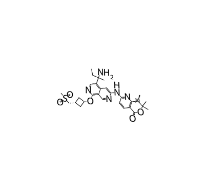 CCC(C)(N)c1cnc(O[C@H]2C[C@@H](CS(C)(=O)=O)C2)c2cnc(Nc3ccc4c(n3)[C@@H](C)C(C)(C)OC4=O)cc12